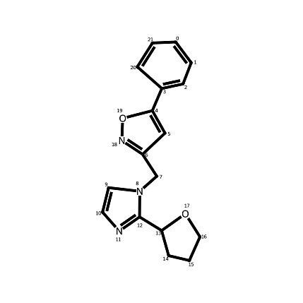 c1ccc(-c2cc(Cn3ccnc3C3CCCO3)no2)cc1